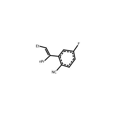 CC/C=C(\CCC)c1cc(F)ccc1C#N